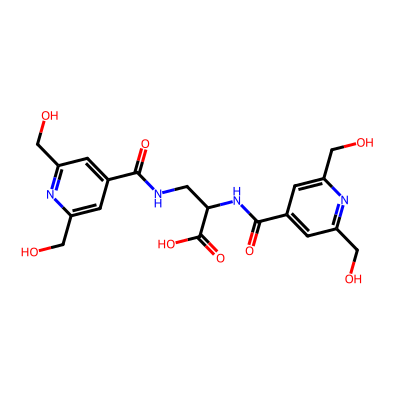 O=C(NCC(NC(=O)c1cc(CO)nc(CO)c1)C(=O)O)c1cc(CO)nc(CO)c1